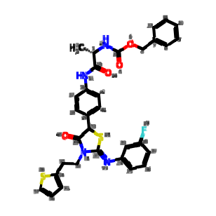 C[C@H](NC(=O)OCc1ccccc1)C(=O)Nc1ccc(C2S/C(=N\c3cccc(F)c3)N(CCc3cccs3)C2=O)cc1